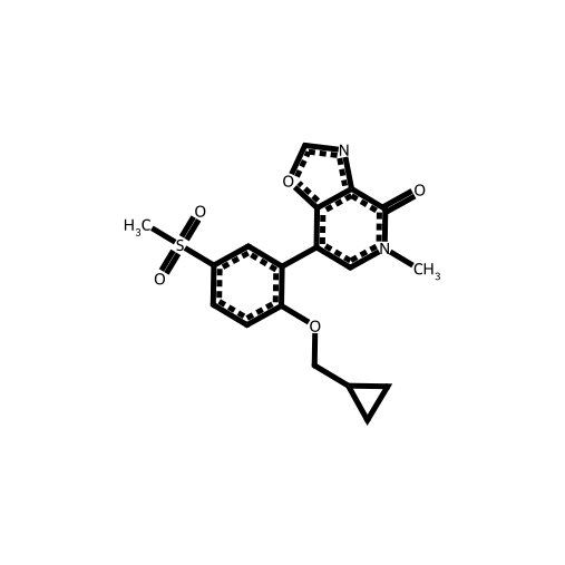 Cn1cc(-c2cc(S(C)(=O)=O)ccc2OCC2CC2)c2ocnc2c1=O